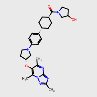 Cc1nc2nc(C)c(O[C@@H]3CCN(c4ccc([C@H]5CC[C@H](C(=O)N6CCC(O)C6)CC5)cc4)C3)c(C)n2n1